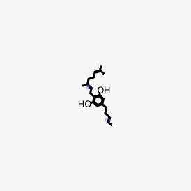 C/C=C/CCc1cc(O)c(C/C=C(\C)CCC=C(C)C)c(O)c1